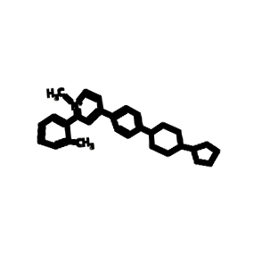 Cc1ccccc1-c1cc(-c2ccc(C3CCC(C4CCCC4)CC3)cc2)cc[n+]1C